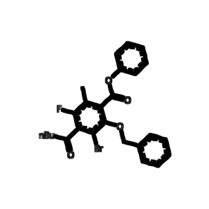 CCCCC(=O)c1c(F)c(C)c(C(=O)Oc2ccccc2)c(OCc2ccccc2)c1Br